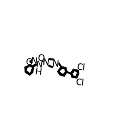 O=C(Nc1noc2ccccc12)N1CCN(Cc2cccc(-c3cc(Cl)cc(Cl)c3)c2)CC1